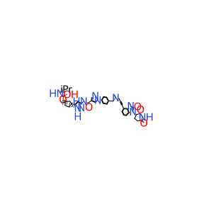 CC(C)NC(O)O[C@@H]1CC[C@H](c2cc(NC(=O)c3cnn(-c4ccc(CN(C)CC#Cc5cccc6c5n(C)c(=O)n6C5CCC(=O)NC5=O)cc4)c3)n[nH]2)C1